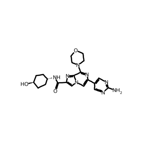 Nc1ncc(-c2cn3cc(C(=O)N[C@H]4CC[C@H](O)CC4)nc3c(N3CCOCC3)n2)cn1